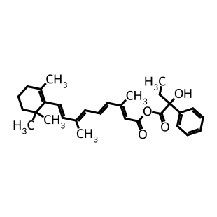 CCC(O)(C(=O)OC(=O)C=C(C)C=CC=C(C)C=CC1=C(C)CCCC1(C)C)c1ccccc1